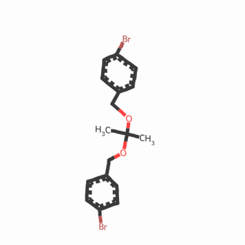 CC(C)(OCc1ccc(Br)cc1)OCc1ccc(Br)cc1